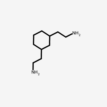 NCCC1CCCC(CCN)C1